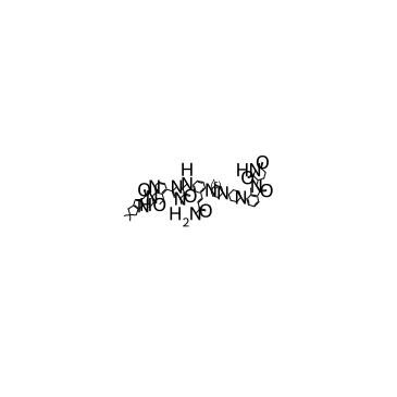 C[C@H]1CN(C2CCN(c3cccc4c3CN(C3CCC(=O)NC3=O)C4=O)CC2)CCN1c1ccc(Nc2nc(-c3ccnc(N4CCn5c(cc6c5CC(C)(C)C6)C4=O)c3CO)cn(C)c2=O)cc1C=CC(N)=O